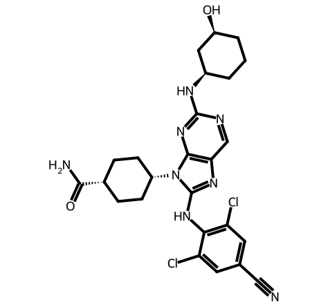 N#Cc1cc(Cl)c(Nc2nc3cnc(N[C@@H]4CCC[C@H](O)C4)nc3n2[C@H]2CC[C@@H](C(N)=O)CC2)c(Cl)c1